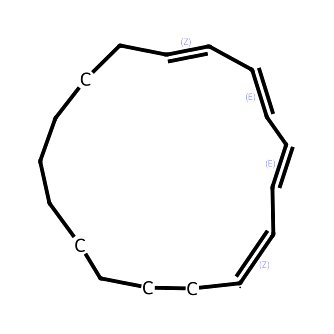 [C]1=C/C=C/C=C/C=C\CCCCCCCCC\1